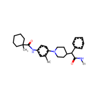 [C-]#[N+]c1cc(NC(=O)C2(C)CCCCC2)ccc1N1CCC(C(C(=O)NCC)c2ccccc2)CC1